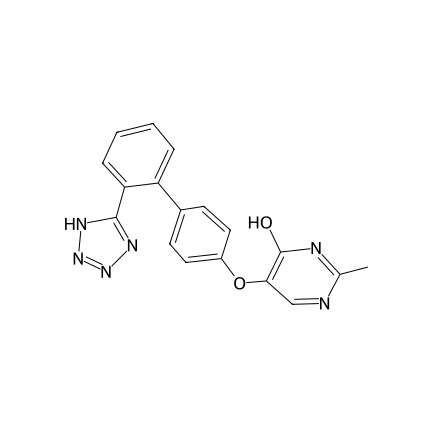 Cc1ncc(Oc2ccc(-c3ccccc3-c3nnn[nH]3)cc2)c(O)n1